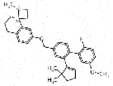 COc1ccc(F)c(-c2ccc(COc3ccc4c(c3)[C@]3(CCC4)CC[C@H]3C)cc2C2=CCCC2(C)C)c1